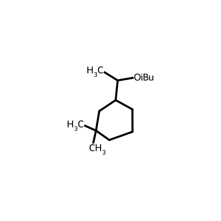 CC(C)COC(C)C1CCCC(C)(C)C1